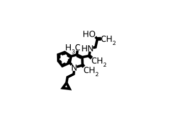 C=C(O)CNC(=C)C1=C(C)c2ccccc2N(CCC2CC2)C1=C